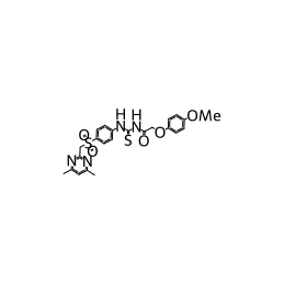 COc1ccc(OCC(=O)NC(=S)Nc2ccc(S(=O)(=O)Cc3nc(C)cc(C)n3)cc2)cc1